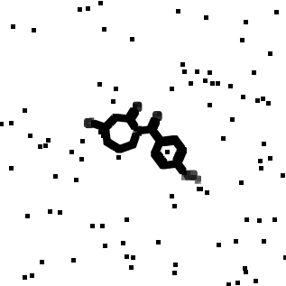 O=C1CC(Cl)CCCN1C(=O)c1ccc([N+](=O)[O-])cc1